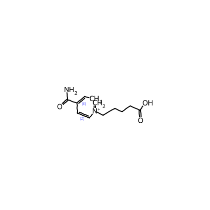 C=[N+](/C=C\C(=C/C)C(N)=O)CCCCC(=O)O